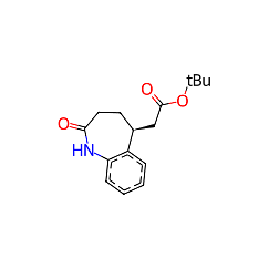 CC(C)(C)OC(=O)C[C@@H]1CCC(=O)Nc2ccccc21